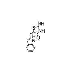 N=C1NC(=O)/C(=C\c2cc3ccccc3[nH]2)S1